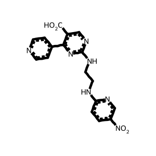 O=C(O)c1cnc(NCCNc2ccc([N+](=O)[O-])cn2)nc1-c1ccncc1